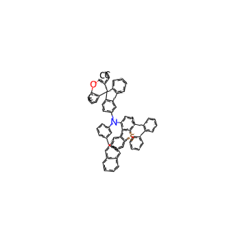 c1ccc(-c2ccccc2-c2ccc(N(c3cccc(-c4ccc5ccccc5c4)c3)c3ccc4c(c3)-c3ccccc3C43c4ccccc4Oc4ccccc43)c3c2sc2ccccc23)cc1